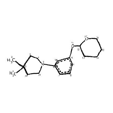 CC1(C)CCN(c2cc[c]c(OC3CCCCO3)c2)CC1